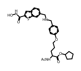 CC(=O)NC(CCCOc1ccc(CNCc2ccc3cc(C(=O)NO)sc3c2)cc1)C(=O)OC1CCCC1